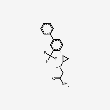 NC(=O)CN[C@@H]1C[C@H]1c1ccc(-c2ccccc2)cc1C(F)(F)F